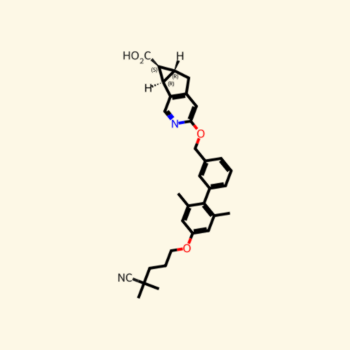 Cc1cc(OCCCC(C)(C)C#N)cc(C)c1-c1cccc(COc2cc3c(cn2)[C@@H]2[C@@H](C3)[C@@H]2C(=O)O)c1